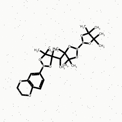 CC(C1(C)OB(B2OC(C)(C)C(C)(C)O2)OC1(C)C)C1(C)OB(c2ccc3c(c2)OCCO3)OC1(C)C